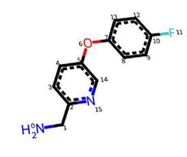 NCc1ccc(Oc2ccc(F)cc2)cn1